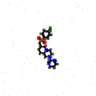 O=S(=O)(CC1CCC2CN(c3ncccn3)CCN2C1)c1ccc(F)cc1